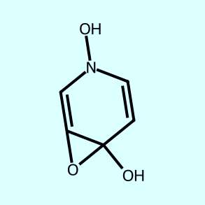 ON1C=CC2(O)OC2=C1